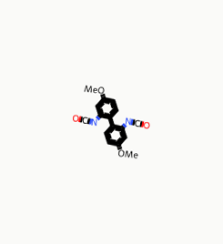 COc1ccc(-c2ccc(OC)cc2N=C=O)c(N=C=O)c1